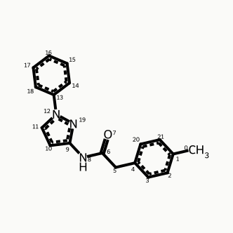 Cc1ccc(CC(=O)Nc2ccn(-c3ccccc3)n2)cc1